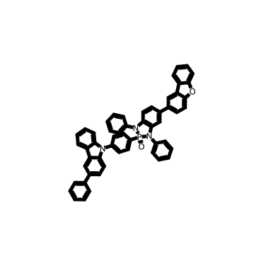 O=P1(c2ccc(-n3c4ccccc4c4cc(-c5ccccc5)ccc43)cc2)N(c2ccccc2)c2ccc(-c3ccc4oc5ccccc5c4c3)cc2N1c1ccccc1